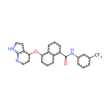 O=C(Nc1cccc(C(F)(F)F)c1)c1cccc2c(Oc3ccnc4[nH]ccc34)cccc12